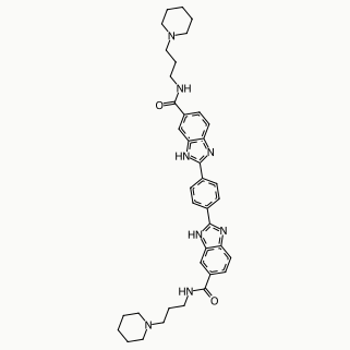 O=C(NCCCN1CCCCC1)c1ccc2nc(-c3ccc(-c4nc5ccc(C(=O)NCCCN6CCCCC6)cc5[nH]4)cc3)[nH]c2c1